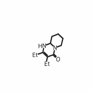 CCC1=C(CC)C(=O)N2CCCCC2N1